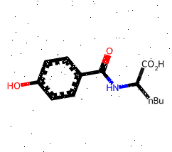 CCCCC(NC(=O)c1ccc(O)cc1)C(=O)O